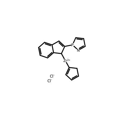 C1=CC[C]([Zr+2][CH]2C(p3cccn3)=Cc3ccccc32)=C1.[Cl-].[Cl-]